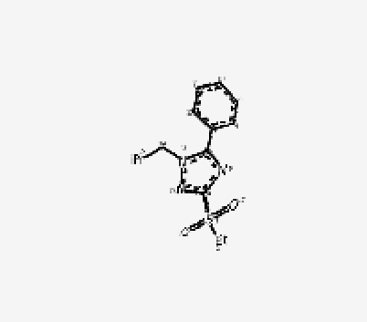 CCS(=O)(=O)c1nc(-c2ccccc2)n(CC(C)C)n1